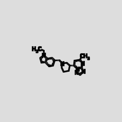 CCn1ccc2ccc(CN3CCCC(c4cc(C)nc5ncnn45)C3)cc21